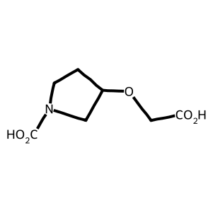 O=C(O)COC1CCN(C(=O)O)C1